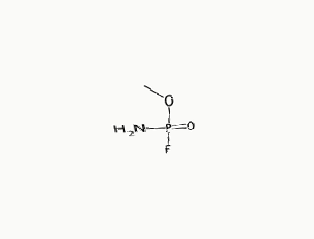 COP(N)(=O)F